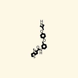 Cn1c(C(=O)Nc2cccc(COc3ccc(OCC4CNC4)cc3)c2)cc2sccc21